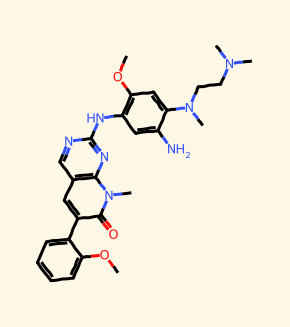 COc1cc(N(C)CCN(C)C)c(N)cc1Nc1ncc2cc(-c3ccccc3OC)c(=O)n(C)c2n1